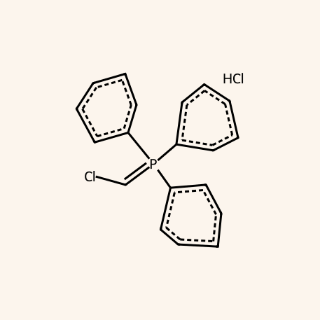 Cl.ClC=P(c1ccccc1)(c1ccccc1)c1ccccc1